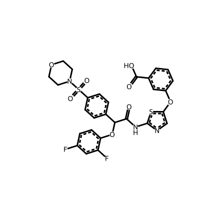 O=C(O)c1cccc(Oc2cnc(NC(=O)C(Oc3ccc(F)cc3F)c3ccc(S(=O)(=O)N4CCOCC4)cc3)s2)c1